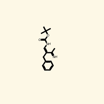 CC(=N)/C(=C\NC(=O)OC(C)(C)C)Cc1ccccc1